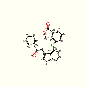 O=C(CC1=CCc2cccc(Cl)c21)c1ccccc1.O=C1OCc2ccccc21